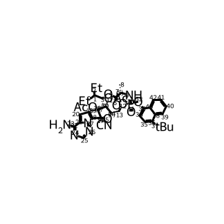 CCC(CC)COC(=O)[C@H](C)NP(=O)(OC[C@H]1O[C@@](C#N)(c2ccc3c(N)ncnn23)[C@H](OC(C)=O)[C@@H]1OC(C)=O)Oc1ccc(C(C)(C)C)c2ccccc12